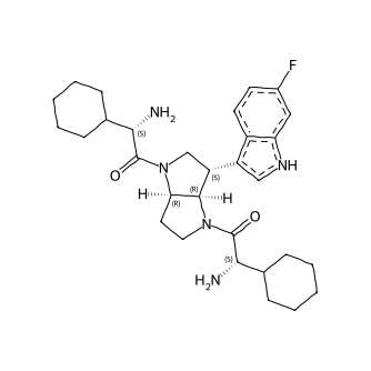 N[C@H](C(=O)N1CC[C@@H]2[C@H]1[C@@H](c1c[nH]c3cc(F)ccc13)CN2C(=O)[C@@H](N)C1CCCCC1)C1CCCCC1